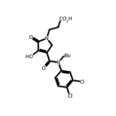 CCC(C)N(C(=O)C1=C(O)C(=O)N(CCC(=O)O)C1)c1ccc(Cl)c(Cl)c1